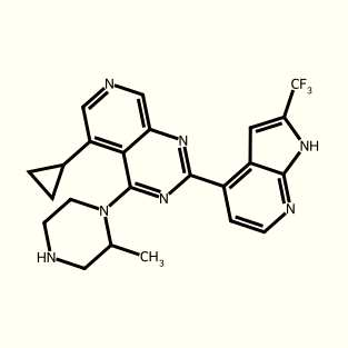 CC1CNCCN1c1nc(-c2ccnc3[nH]c(C(F)(F)F)cc23)nc2cncc(C3CC3)c12